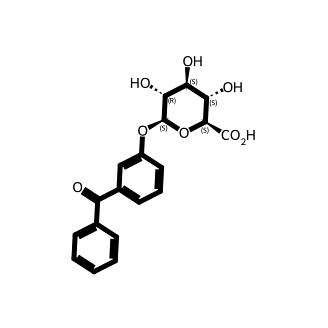 O=C(c1ccccc1)c1cccc(O[C@@H]2O[C@H](C(=O)O)[C@@H](O)[C@H](O)[C@H]2O)c1